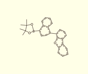 CC1(C)OB(c2ccc(-c3cccc4c3oc3ccccc34)c3ccccc23)OC1(C)C